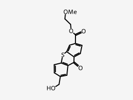 COCCOC(=O)c1ccc2c(=O)c3cc(CO)ccc3sc2c1